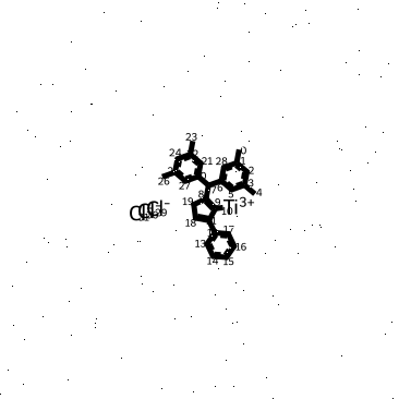 Cc1cc(C)cc(C(C2=[C]([Ti+3])C(c3ccccc3)=CC2)c2cc(C)cc(C)c2)c1.[Cl-].[Cl-].[Cl-]